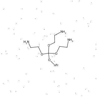 CCCOC(OCCN)(OCCN)OCCN